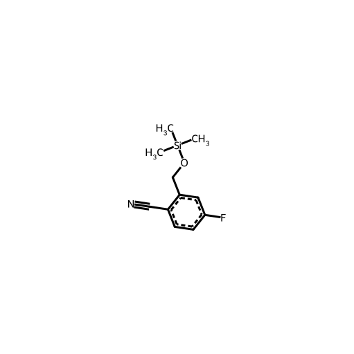 C[Si](C)(C)OCc1cc(F)ccc1C#N